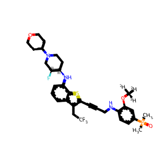 [2H]C([2H])([2H])Oc1cc(P(C)(C)=O)ccc1NCC#Cc1sc2c(N[C@@H]3CCN(C4CCOCC4)C[C@@H]3F)cccc2c1CC(F)(F)F